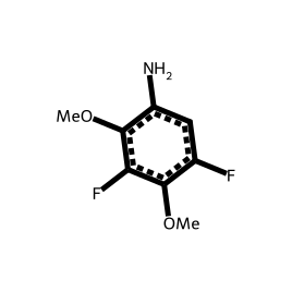 COc1c(N)cc(F)c(OC)c1F